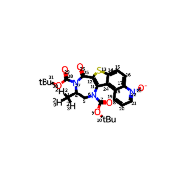 [2H]C([2H])([2H])C1CN(C(=O)OC(C)(C)C)c2c(sc3ccc4c(ccc[n+]4[O-])c23)C(=O)N1C(=O)OC(C)(C)C